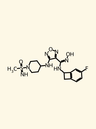 CS(=N)(=O)N1CCC(Nc2nonc2C(=NO)NC2Cc3ccc(F)cc32)CC1